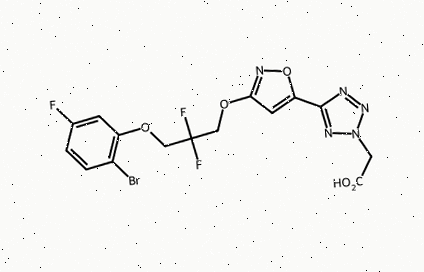 O=C(O)Cn1nnc(-c2cc(OCC(F)(F)COc3cc(F)ccc3Br)no2)n1